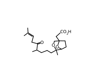 CC(C)=CCC(=O)C(C)CCCC1(C)OCC2(CC(=O)O)CCC1O2